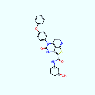 O=C(N[C@@H]1CCC[C@H](O)C1)c1sc2nccc3c2c1NC(=O)N3c1ccc(Oc2ccccc2)cc1